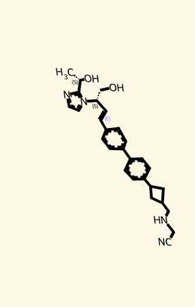 C[C@H](O)c1nccn1[C@@H](/C=C/c1ccc(-c2ccc(C3CC(CNCC#N)C3)cc2)cc1)CO